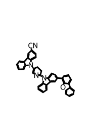 N#Cc1ccc2c(c1)c1ccccc1n2C1=CN=C(n2c3ccccc3c3cc(-c4cccc5c4oc4ccccc45)ccc32)CC1